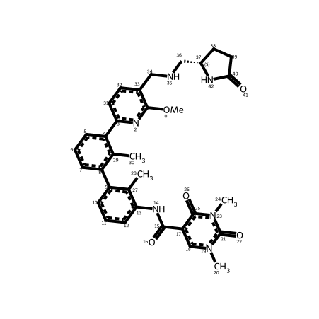 COc1nc(-c2cccc(-c3cccc(NC(=O)c4cn(C)c(=O)n(C)c4=O)c3C)c2C)ccc1CNC[C@@H]1CCC(=O)N1